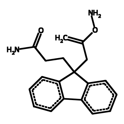 C=C(CC1(CCC(N)=O)c2ccccc2-c2ccccc21)ON